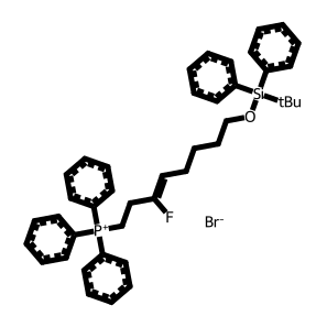 CC(C)(C)[Si](OCCCCC=C(F)CC[P+](c1ccccc1)(c1ccccc1)c1ccccc1)(c1ccccc1)c1ccccc1.[Br-]